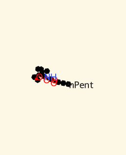 CCCCC[C@H]1CC[C@H](c2ccc(-c3ccc(C(=O)Oc4ccc(C(=O)Nc5ccc6c7c(c8c(c6c5)C(c5ccccc5)c5ccc6ccccc6c5-8)C=CC(c5ccccc5)(c5ccccc5)O7)cc4)cc3)cc2)CC1